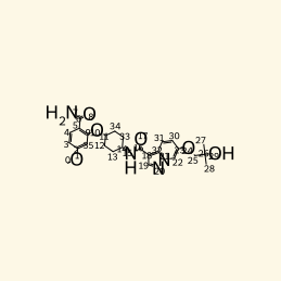 COc1ccc(C(N)=O)c(OC2CCC(NC(=O)c3cnn4cc(OCC(C)(C)O)ccc34)CC2)c1